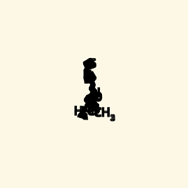 CN(C)Cc1c(OCC2CC2)ccc2c(CCC3CCN(Cc4ccsc4)CC3)noc12